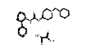 O=C(Nc1ccccc1-c1ccccc1)OC1CCN(CC2CCCCC2)CC1.O=C(O)C(=O)O